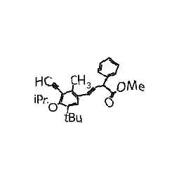 C#Cc1c(C)c(C#CC(C(=O)OC)c2ccccc2)cc(C(C)(C)C)c1OC(C)C